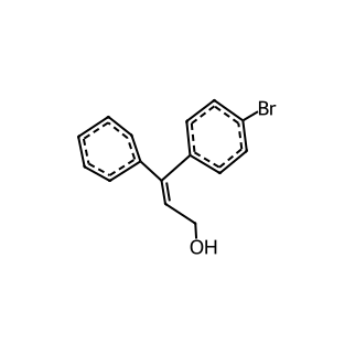 OCC=C(c1ccccc1)c1ccc(Br)cc1